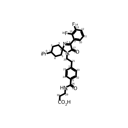 CC(C)C1CCC2(CC1)N=C(c1cccc(F)c1F)C(=O)N2CCc1ccc(C(=O)NCCC(=O)O)cc1